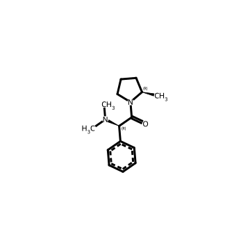 C[C@@H]1CCCN1C(=O)[C@@H](c1ccccc1)N(C)C